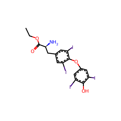 CCOC(=O)[C@@H](N)Cc1cc(I)c(Oc2cc(I)c(O)c(I)c2)c(I)c1